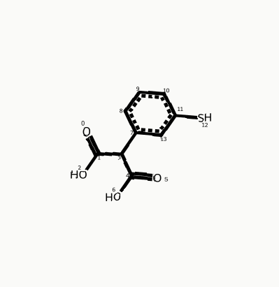 O=C(O)C(C(=O)O)c1cccc(S)c1